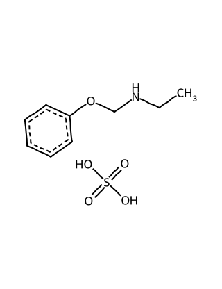 CCNCOc1ccccc1.O=S(=O)(O)O